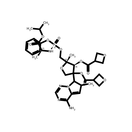 CC(C)OC(=O)[C@H](C)N[P@](=O)(OC[C@@]1(C)OCC(OC(=O)C2COC2)(C2C(C)C=C3C(N)=NC=NN32)[C@@H]1OC(=O)C1COC1)Oc1ccccc1